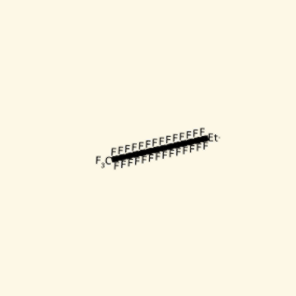 C[CH]C(F)(F)C(F)(F)C(F)(F)C(F)(F)C(F)(F)C(F)(F)C(F)(F)C(F)(F)C(F)(F)C(F)(F)C(F)(F)C(F)(F)C(F)(F)C(F)(F)C(F)(F)F